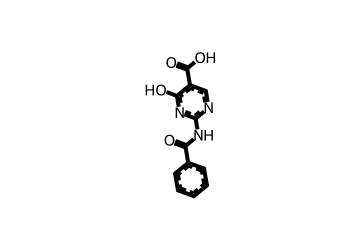 O=C(Nc1ncc(C(=O)O)c(O)n1)c1ccccc1